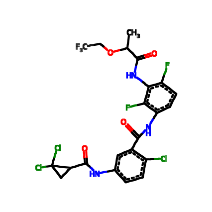 CC(OCC(F)(F)F)C(=O)Nc1c(F)ccc(NC(=O)c2cc(NC(=O)C3CC3(Cl)Cl)ccc2Cl)c1F